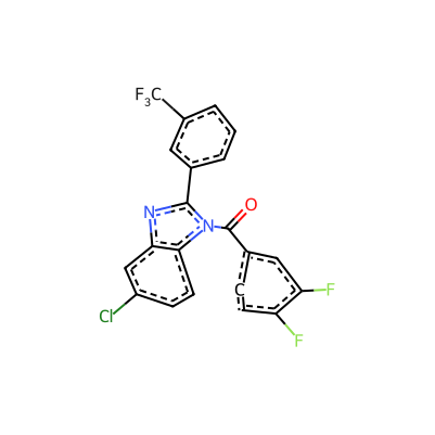 O=C(c1ccc(F)c(F)c1)n1c(-c2cccc(C(F)(F)F)c2)nc2cc(Cl)ccc21